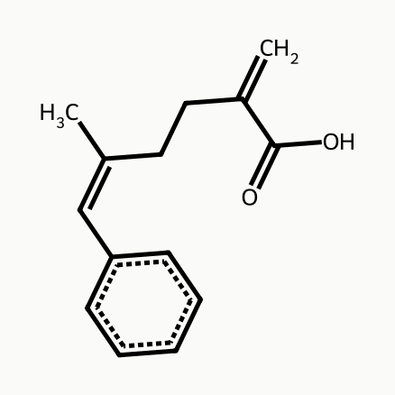 C=C(CCC(C)=Cc1ccccc1)C(=O)O